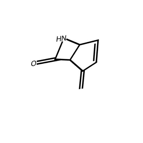 C=C1C=CC2NC(=O)C12